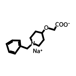 O=C([O-])COC1CCN(Cc2ccccc2)CC1.[Na+]